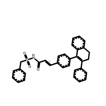 O=C(/C=C/c1ccc(C2=C(c3ccccc3)CCc3ccccc32)cc1)NS(=O)(=O)Cc1ccccc1